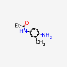 CCC(=O)Nc1ccc(N)c(C)c1